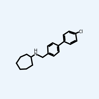 Clc1ccc(-c2ccc(CNC3CCCCCC3)cc2)cc1